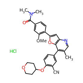 COc1cc(C(=O)N(C)C)ccc1-c1cc2ncc(C)c(-c3ccc(OC4CCOCC4)c(C#N)c3)c2o1.Cl